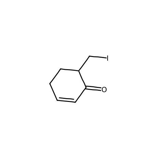 O=C1C=CCCC1CI